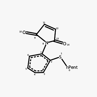 CCCCCSc1ccccc1N1C(=O)C=CC1=O